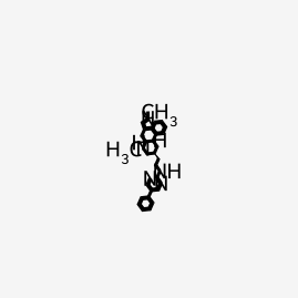 CN1C[C@H](CCNc2ncc(-c3ccccc3)cn2)C[C@@H]2c3cccc4c3c(cn4C)C[C@H]21